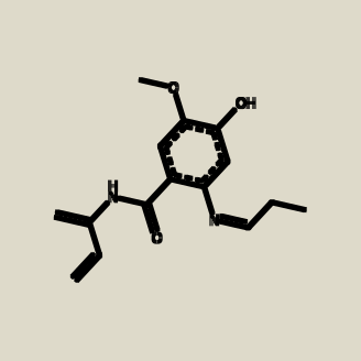 C=CC(=C)NC(=O)c1cc(OC)c(O)cc1/N=C\CC